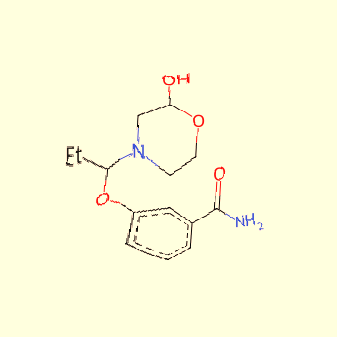 CCC(Oc1cccc(C(N)=O)c1)N1CCOC(O)C1